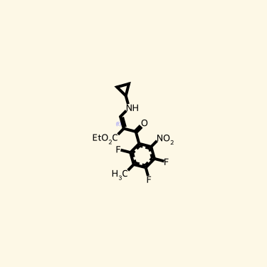 CCOC(=O)/C(=C/NC1CC1)C(=O)c1c(F)c(C)c(F)c(F)c1[N+](=O)[O-]